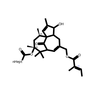 C/C=C(\C)C(=O)OCC1=CC2C(=O)C3(C=C(C)C(O)C3C1)[C@H](C)C[C@@](C)(OC(=O)CCCCCCC)C2(C)C